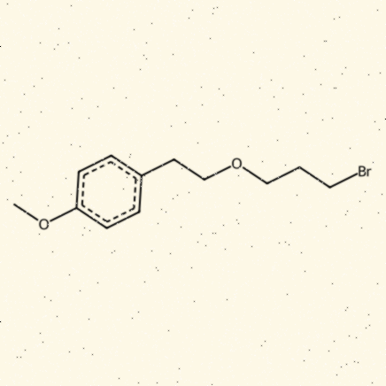 COc1ccc(CCOCCCBr)cc1